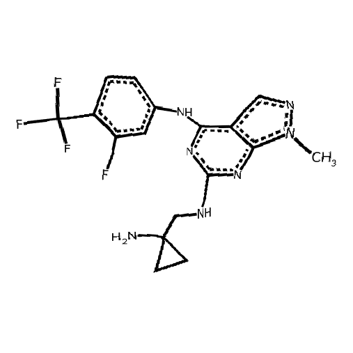 Cn1ncc2c(Nc3ccc(C(F)(F)F)c(F)c3)nc(NCC3(N)CC3)nc21